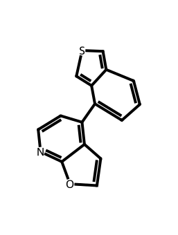 c1cc(-c2ccnc3occc23)c2cscc2c1